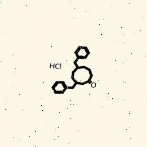 Cl.O=C1CCCC(Cc2ccccc2)CCC(Cc2ccccc2)C1